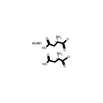 Cl.N[C@@H](CC(=O)O)C(=O)[O-].N[C@@H](CC(=O)O)C(=O)[O-].[Mn+2]